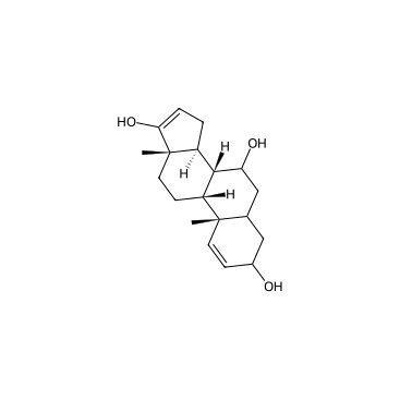 C[C@]12C=CC(O)CC1CC(O)[C@@H]1[C@H]2CC[C@]2(C)C(O)=CC[C@@H]12